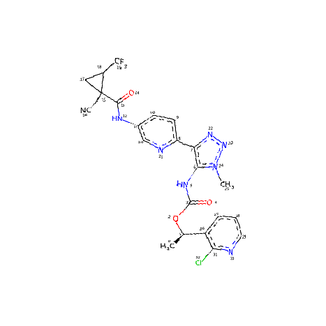 C[C@@H](OC(=O)Nc1c(-c2ccc(NC(=O)C3(C#N)CC3C(F)(F)F)cn2)nnn1C)c1cccnc1Cl